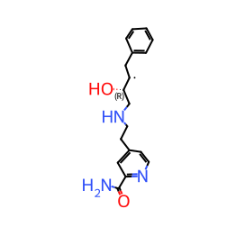 NC(=O)c1cc(CCNC[C@H](O)[CH]Cc2ccccc2)ccn1